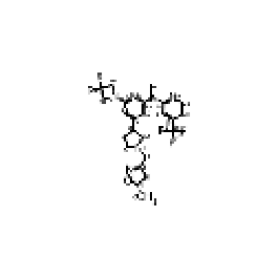 CC1CC(CN2CCC(c3cc(Nc4cc(C(F)(F)F)ccn4)nc(N4CC(F)(F)C4)n3)C2)=NO1